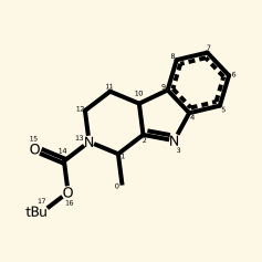 CC1C2=Nc3ccccc3C2CCN1C(=O)OC(C)(C)C